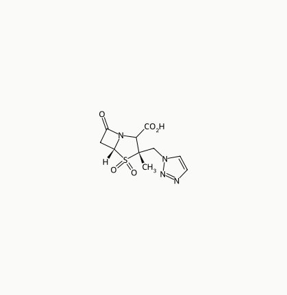 C[C@]1(Cn2ccnn2)C(C(=O)O)N2C(=O)C[C@H]2S1(=O)=O